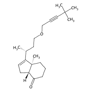 C[C@H](CCOCC#CC(C)(C)C)C1=CC[C@H]2C(=O)CCC[C@]12C